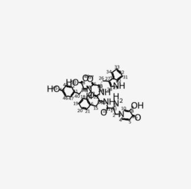 N[C@@H](Cn1ccc(=O)c(O)c1)C(=O)N[C@@H](Cc1ccccc1)C(=O)N[C@@H](Cc1c[nH]c2ccccc12)C(=O)N[C@@H](Cc1ccc(O)cc1)C(=O)O